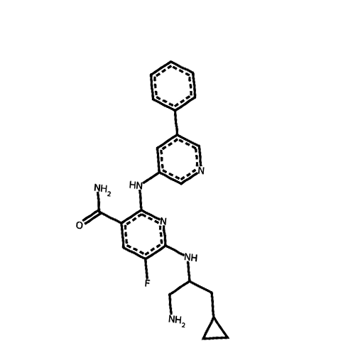 NCC(CC1CC1)Nc1nc(Nc2cncc(-c3ccccc3)c2)c(C(N)=O)cc1F